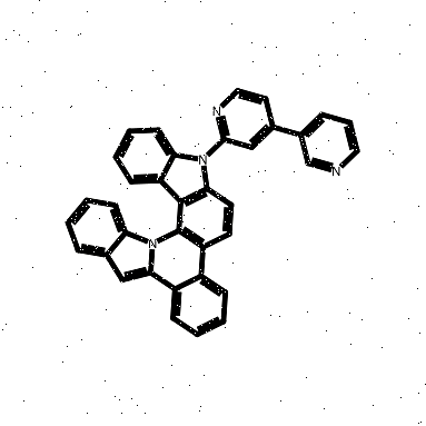 c1cncc(-c2ccnc(-n3c4ccccc4c4c3ccc3c5ccccc5c5cc6ccccc6n5c34)c2)c1